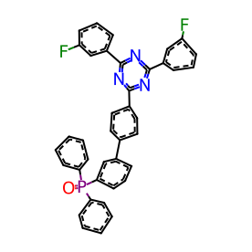 O=P(c1ccccc1)(c1ccccc1)c1cccc(-c2ccc(-c3nc(-c4cccc(F)c4)nc(-c4cccc(F)c4)n3)cc2)c1